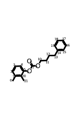 Cc1cccc(OC(=O)OCCCCc2ccccc2)c1C